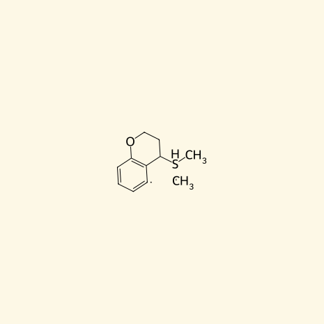 C[SH](C)C1CCOc2ccc[c]c21